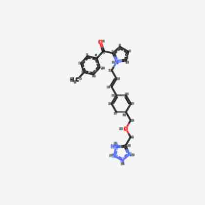 Cc1ccc(C(=O)c2cccn2C/C=C/C2=CCC(COCc3nnn[nH]3)C=C2)cc1